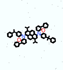 CC(C)c1cc(N(c2ccc(C(C)c3ccccc3)cc2)c2cccc3c2oc2ccccc23)c2ccc3c(C(C)C)cc(N(c4ccc(C(C)(C)c5ccccc5)cc4)c4cccc5c4oc4ccccc45)c4ccc1c2c34